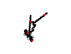 CCCCCCCCCCCCCCCCc1cc(C)sc1-c1ccc(/C=C/c2ccc(-c3sc(-c4sc(=C5C(=O)c6ccccc6C5=O)c5c(C)sc(=C6C(=O)c7ccccc7C6=O)c45)cc3CCCCCCCCCCCCCCCC)s2)s1